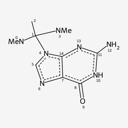 CNC(C)(NC)n1cnc2c(=O)[nH]c(N)nc21